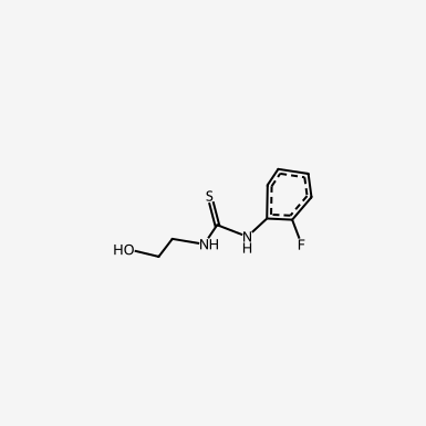 OCCNC(=S)Nc1ccccc1F